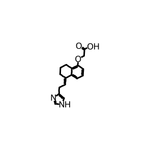 O=C(O)COc1cccc2c1CCCC2=CCc1c[nH]cn1